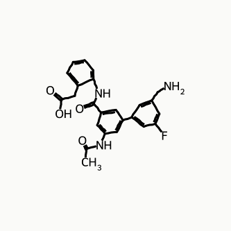 CC(=O)Nc1cc(C(=O)Nc2ccccc2CC(=O)O)cc(-c2cc(F)cc(CN)c2)c1